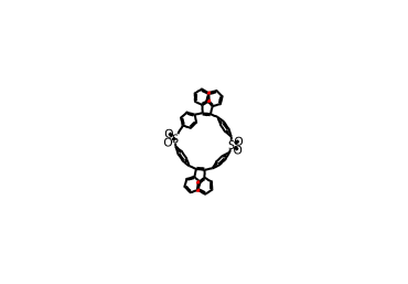 O=S1(=O)c2ccc(cc2)/C(c2ccccc2)=C(/c2ccccc2)c2ccc(cc2)S(=O)(=O)c2ccc(cc2)/C(c2ccccc2)=C(/c2ccccc2)c2ccc1cc2